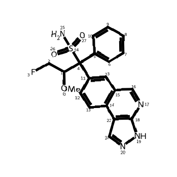 COC(CF)C(c1ccccc1)(c1ccc2c(cnc3[nH]ncc32)c1)S(N)(=O)=O